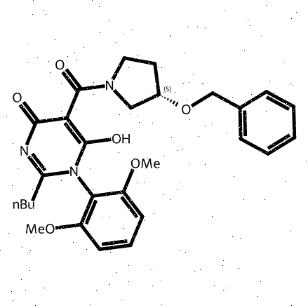 CCCCc1nc(=O)c(C(=O)N2CC[C@H](OCc3ccccc3)C2)c(O)n1-c1c(OC)cccc1OC